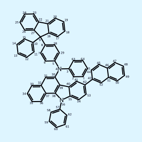 c1ccc(N(c2ccc(C3(c4ccccc4)c4ccccc4-c4ccccc43)cc2)c2cc3ccccc3c3c2c2cc(-c4ccc5ccccc5c4)ccc2n3-c2ccccc2)cc1